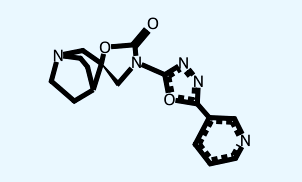 O=C1O[C@]2(CN3CCC2CC3)CN1c1nnc(-c2cccnc2)o1